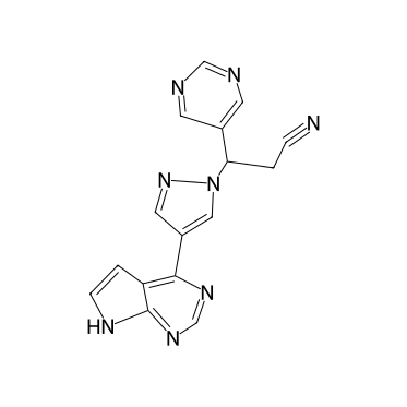 N#CCC(c1cncnc1)n1cc(-c2ncnc3[nH]ccc23)cn1